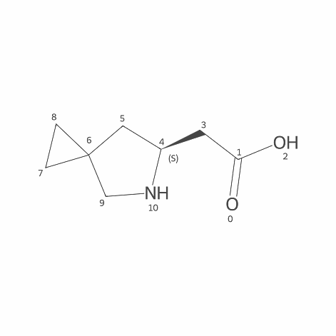 O=C(O)C[C@@H]1CC2(CC2)CN1